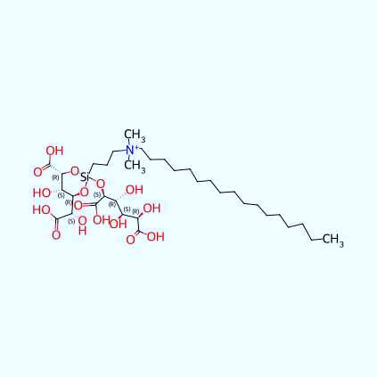 CCCCCCCCCCCCCCCCC[N+](C)(C)CCC[Si]1(O[C@H](C(=O)O)[C@H](O)[C@H](O)[C@@H](O)C(=O)O)O[C@@H]([C@H](O)C(=O)O)[C@H](O)[C@H](C(=O)O)O1